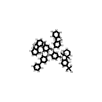 Cc1cc2c3c(c1)N(c1cccc4sc5ccccc5c14)c1cc(-c4ccccc4)ccc1B3c1ccc(N3c4ccc(C(C)(C)C)cc4C4(C)CCCCC34C)cc1N2c1ccc2sc3ccccc3c2c1